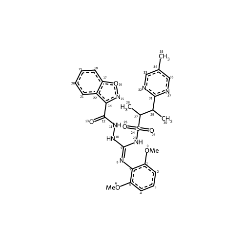 COc1cccc(OC)c1/N=C(/NNC(=O)c1noc2ccccc12)NS(=O)(=O)C(C)C(C)c1ncc(C)cn1